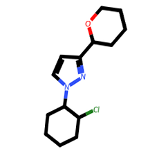 ClC1CCCCC1n1ccc(C2CCCCO2)n1